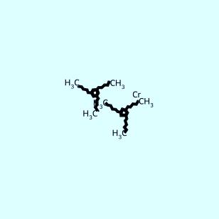 CCCCCCc1cc(CCCCCC)cc(CCCCCC)c1.CCCCCCc1cc(CCCCCC)cc(CCCCCC)c1.[Cr]